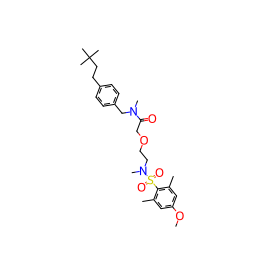 COc1cc(C)c(S(=O)(=O)N(C)CCOCC(=O)N(C)Cc2ccc(CCC(C)(C)C)cc2)c(C)c1